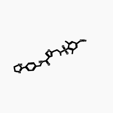 COc1cc(C)c(S(=O)(=O)N(C)Cc2cc(C(=O)NCc3ccc(C4=NCCN4)cc3)co2)c(C)c1